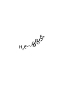 C=CCCC[C@H]1CO[C@H]([C@H]2CO[C@H](c3ccc(F)c(F)c3)OC2)OC1